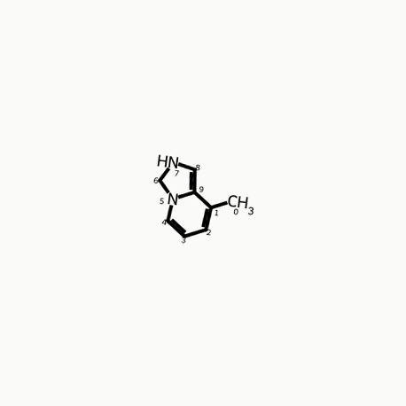 CC1=CC=CN2CNC=C12